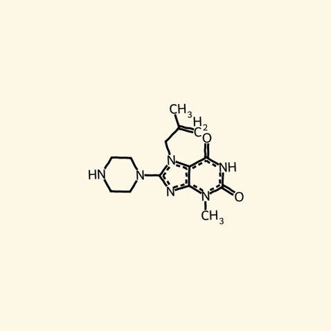 C=C(C)Cn1c(N2CCNCC2)nc2c1c(=O)[nH]c(=O)n2C